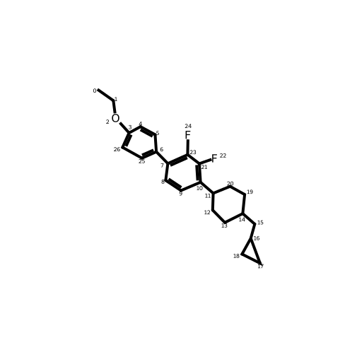 CCOc1ccc(-c2ccc(C3CCC(CC4CC4)CC3)c(F)c2F)cc1